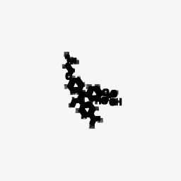 CC/C(=C(\c1ccc(OCCN(C)C)cc1)c1ccc(OP(=O)(O)O)cc1)c1ccc(C(C)C)cc1